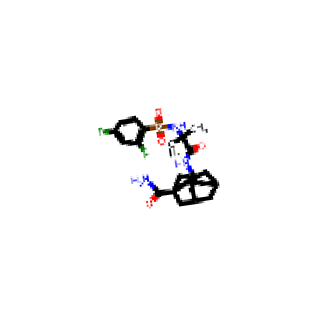 CC(C)(NS(=O)(=O)c1ccc(F)cc1F)C(=O)NC12CC3CC(C1)CC(C(N)=O)(C3)C2